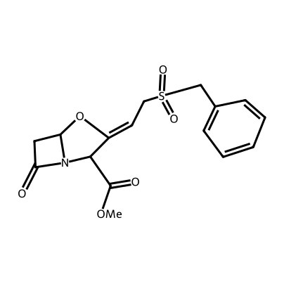 COC(=O)C1C(=CCS(=O)(=O)Cc2ccccc2)OC2CC(=O)N21